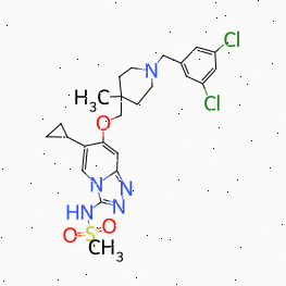 CC1(COc2cc3nnc(NS(C)(=O)=O)n3cc2C2CC2)CCN(Cc2cc(Cl)cc(Cl)c2)CC1